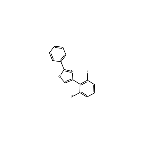 Fc1cccc(F)c1-c1coc(-c2ccccc2)n1